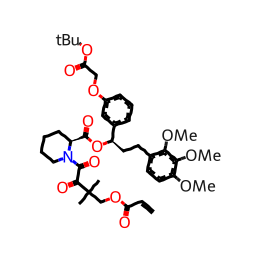 C=CC(=O)OCC(C)(C)C(=O)C(=O)N1CCCC[C@H]1C(=O)O[C@H](CCc1ccc(OC)c(OC)c1OC)c1cccc(OCC(=O)OC(C)(C)C)c1